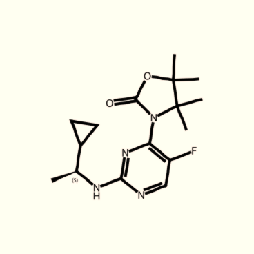 C[C@H](Nc1ncc(F)c(N2C(=O)OC(C)(C)C2(C)C)n1)C1CC1